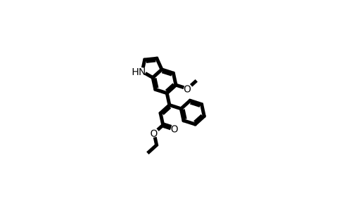 CCOC(=O)C=C(c1ccccc1)c1cc2[nH]ccc2cc1OC